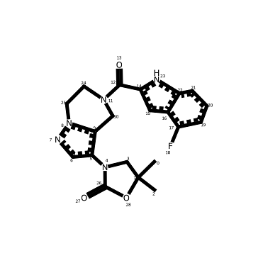 CC1(C)CN(c2cnn3c2CN(C(=O)c2cc4c(F)cccc4[nH]2)CC3)C(=O)O1